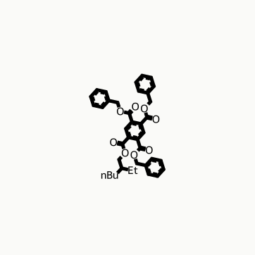 CCCCC(CC)COC(=O)c1cc(C(=O)OCc2ccccc2)c(C(=O)OCc2ccccc2)cc1C(=O)OCc1ccccc1